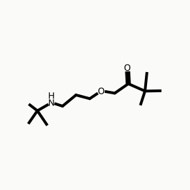 CC(C)(C)NCCCOCC(=O)C(C)(C)C